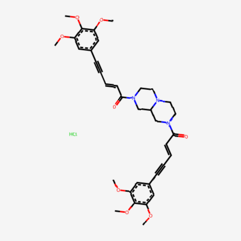 COc1cc(C#C/C=C/C(=O)N2CCN3CCN(C(=O)/C=C/C#Cc4cc(OC)c(OC)c(OC)c4)CC3C2)cc(OC)c1OC.Cl